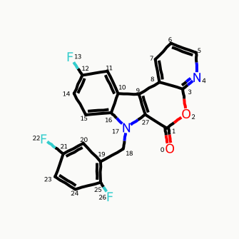 O=c1oc2ncccc2c2c3cc(F)ccc3n(Cc3cc(F)ccc3F)c12